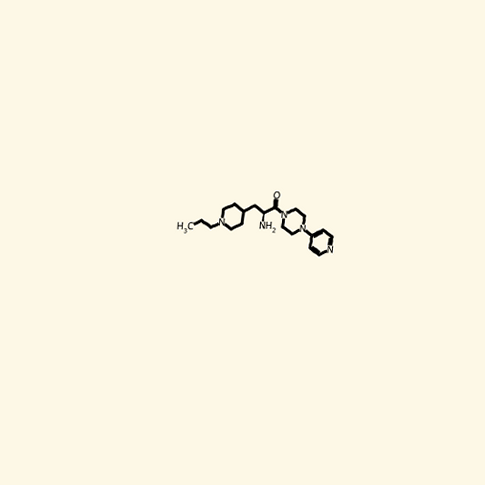 CCCN1CCC(C[C@H](N)C(=O)N2CCN(c3ccncc3)CC2)CC1